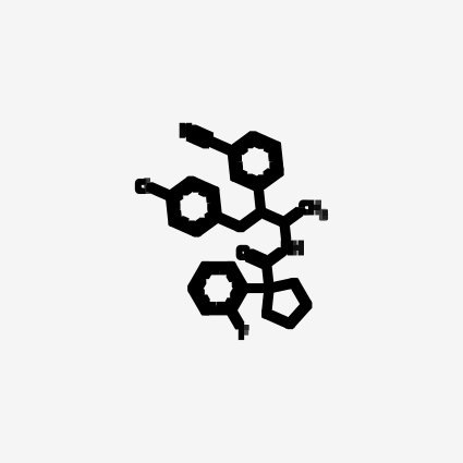 CC(NC(=O)C1(c2ccccc2F)CCCC1)C(Cc1ccc(Cl)cc1)c1cccc(C#N)c1